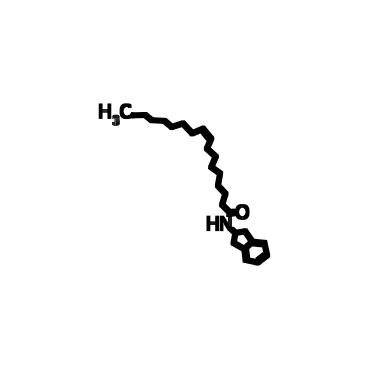 CCCCCCCC/C=C\CCCCCCCC(=O)NC1Cc2ccccc2C1